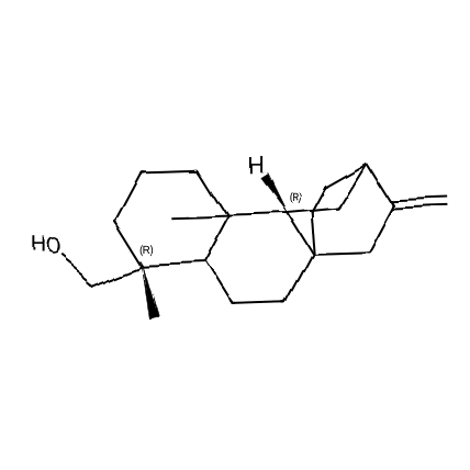 C=C1CC23CCC1C[C@H]2C1(C)CCC[C@@](C)(CO)C1CC3